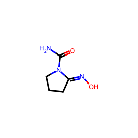 NC(=O)N1CCCC1=NO